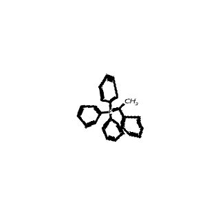 CC(c1ccccc1)=P(c1ccccc1)(c1ccccc1)c1ccccc1